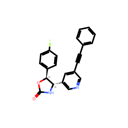 O=C1N[C@@H](c2cncc(C#Cc3ccccc3)c2)[C@H](c2ccc(F)cc2)O1